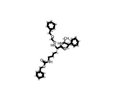 C[C@H](NC(=O)[C@H](CCCCNC(=O)OCc1ccccc1)NOCOCc1ccccc1)C(Cl)c1ccccc1